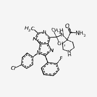 Cc1nc(C(C)(C)NC2(C(N)=O)CCNCC2)c2nc(-c3ccccc3F)n(-c3ccc(Cl)cc3)c2n1